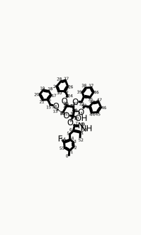 Cc1ccc(Cc2c(O[C@]3(O)O[C@H](COCc4ccccc4)[C@@H](OCc4ccccc4)[C@H](OCc4ccccc4)[C@H]3OCc3ccccc3)n[nH]c2C)c(F)c1